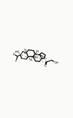 C[C@]12CC[C@H]3[C@@H](CC[C@@H]4C[C@](O)(C(F)F)CC[C@@H]43)[C@@H]1CC[C@@H]2C(=O)CO